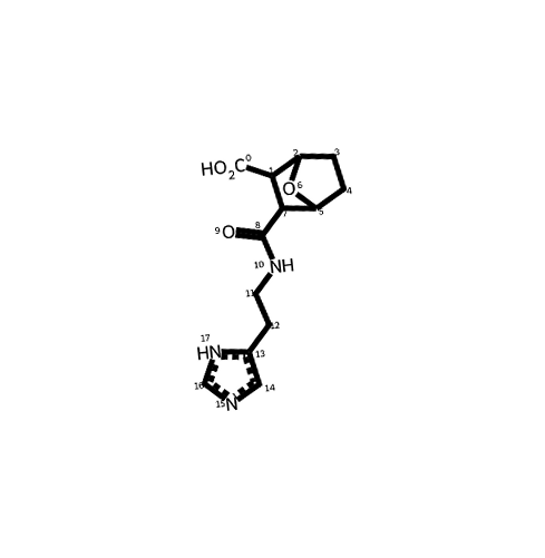 O=C(O)C1C2CCC(O2)C1C(=O)NCCc1cnc[nH]1